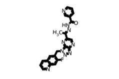 C/C(=N\NC(=O)c1cccnc1)c1cnc2nnn(Cc3cc4cccnc4cc3F)c2n1